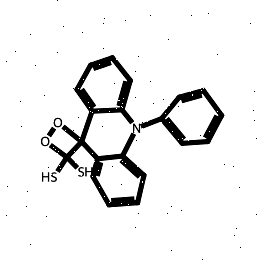 SC1(S)OOC12c1ccccc1N(c1ccccc1)c1ccccc12